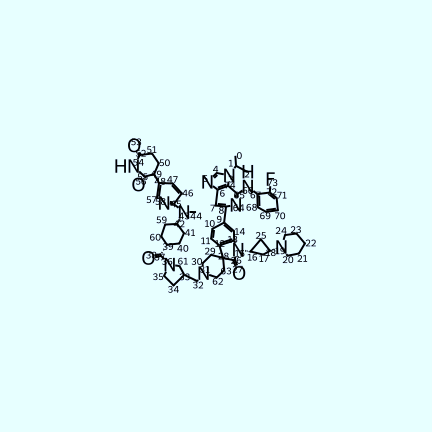 CC(C)n1cnc2cc(-c3ccc4c(c3)N([C@H]3C[C@@H](N5CCCCC5)C3)C(=O)C43CCN(CC4CCN(C(=O)[C@H]5CC[C@H](N(C)c6ccc(C7CCC(=O)NC7=O)cn6)CC5)C4)CC3)nc(Nc3ccccc3F)c21